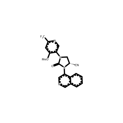 COc1cc(C(F)(F)F)ncc1N1C[C@H](C#N)N(c2cncc3ccccc23)C1=O